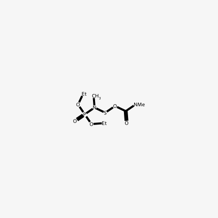 CCOP(=O)(OCC)N(C)SOC(=O)NC